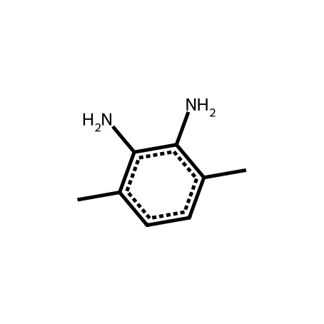 Cc1ccc(C)c(N)c1N